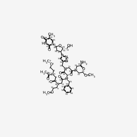 COCCN(CC(=O)N(CCOC)CC(=O)N(CC(=O)N(CC(=O)N(CCOC)CC(N)=O)Cc1cn(C2C[C@H](n3cc(C)c(=O)[nH]c3=O)O[C@@H]2CO)nn1)Cc1ccccc1)C(C)=O